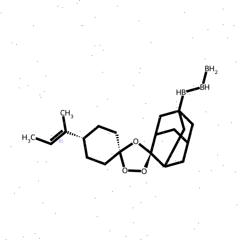 BBBC12CC3CC(C1)[C@]1(OO[C@]4(CC[C@@H](/C(C)=C/C)CC4)O1)C(C3)C2